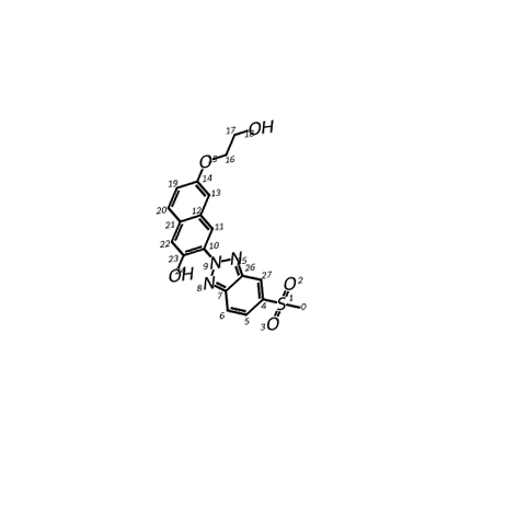 CS(=O)(=O)c1ccc2nn(-c3cc4cc(OCCO)ccc4cc3O)nc2c1